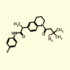 C[C@H](C(=O)Nc1ccc(F)cc1)c1ccc2c(c1)CCCN2C(=O)CC(C)(C)C